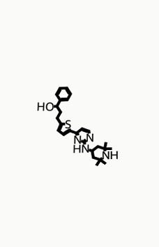 CC1(C)CC(Nc2nccc(-c3ccc(CCC(O)c4ccccc4)s3)n2)CC(C)(C)N1